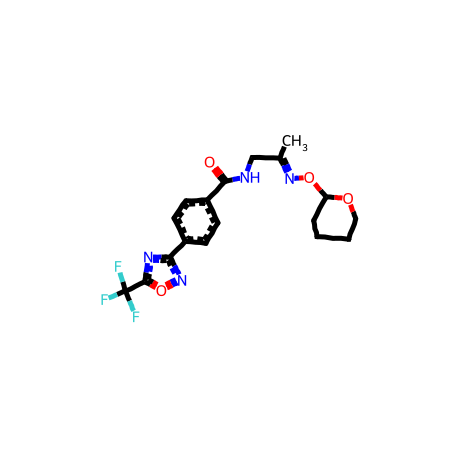 CC(CNC(=O)c1ccc(-c2noc(C(F)(F)F)n2)cc1)=NOC1CCCCO1